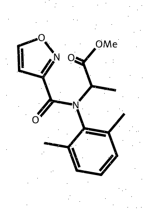 COC(=O)C(C)N(C(=O)c1ccon1)c1c(C)cccc1C